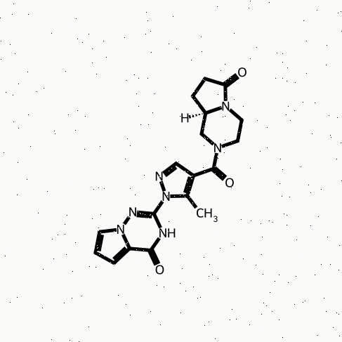 Cc1c(C(=O)N2CCN3C(=O)CC[C@@H]3C2)cnn1-c1nn2cccc2c(=O)[nH]1